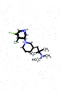 CN(C(=O)O)C(C)(C)C[C@H]1CCCN(c2cncc(F)c2Cl)C1